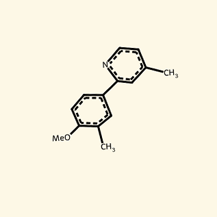 COc1ccc(-c2cc(C)ccn2)cc1C